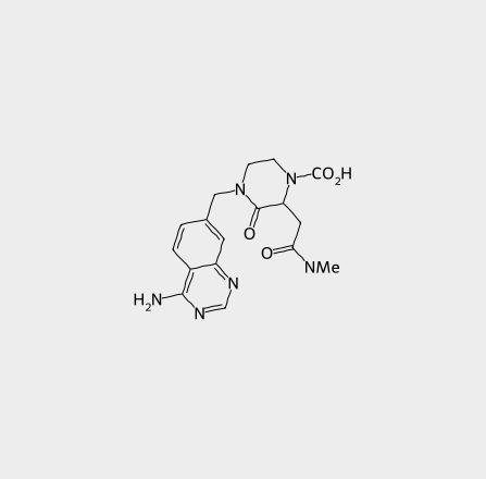 CNC(=O)CC1C(=O)N(Cc2ccc3c(N)ncnc3c2)CCN1C(=O)O